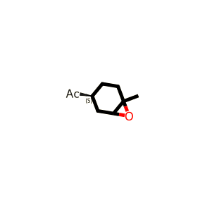 CC(=O)[C@H]1CCC2(C)OC2C1